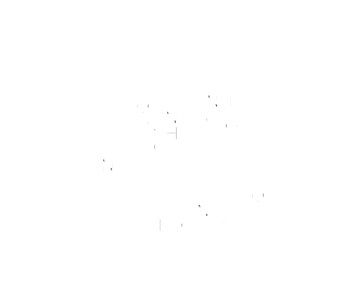 Cn1sc(=O)c2cc(S(=O)(=O)Nc3ccccc3NS(=O)(=O)c3cccnc3)ccc21